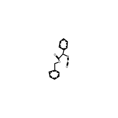 O=C=NC(C(=O)OCc1ccccc1)c1ccccc1